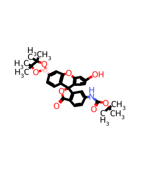 CC(C)(C)OC(=O)Nc1ccc2c(c1)C1(OC2=O)c2ccc(O)cc2Oc2cc(B3OC(C)(C)C(C)(C)O3)ccc21